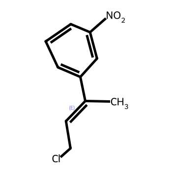 C/C(=C\CCl)c1cccc([N+](=O)[O-])c1